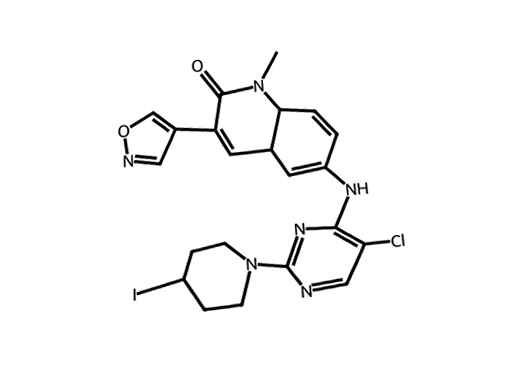 CN1C(=O)C(c2cnoc2)=CC2C=C(Nc3nc(N4CCC(I)CC4)ncc3Cl)C=CC21